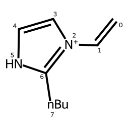 C=C[n+]1cc[nH]c1CCCC